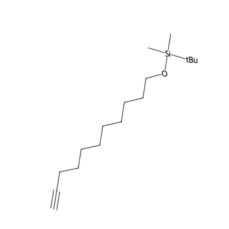 C#CCCCCCCCCCO[Si](C)(C)C(C)(C)C